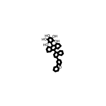 Oc1c(O)c(O)c(-c2c3ccccc3c(-c3ccc(-c4ccc5oc6ccccc6c5c4)c4ccccc34)c3ccccc23)c(O)c1O